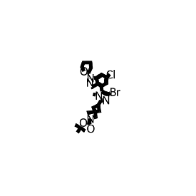 Cn1c(C2CC3(C2)CN(C(=O)OC(C)(C)C)C3)nc(Br)c1-c1cc(Cl)cc2c1cnn2C1CCCCO1